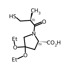 CCOC1(OCC)C[C@@H](C(=O)O)N(C(=O)[C@H](C)CS)C1